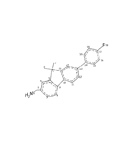 CC1(C)c2cc(N)ccc2-c2ccc(-c3ccc(F)cc3)cc21